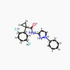 O=C(Nc1ccn(-c2ccccc2)n1)C1(c2cc(F)ccc2F)CC1